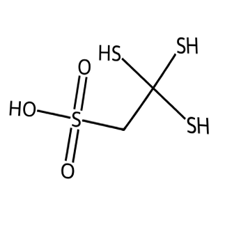 O=S(=O)(O)CC(S)(S)S